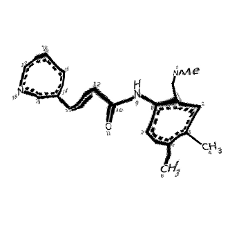 CNc1cc(C)c(C)cc1NC(=O)/C=C/c1cccnc1